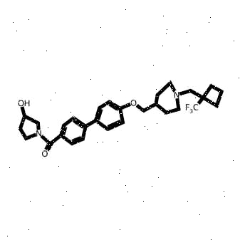 O=C(c1ccc(-c2ccc(OCC3CCN(CC4(C(F)(F)F)CCC4)CC3)cc2)cc1)N1CCC(O)C1